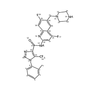 Cc1ccccc1-n1nnc(C(=O)Nc2cc(F)c3cc(CN4CCNCC4)c(F)cc3n2)c1C(F)(F)F